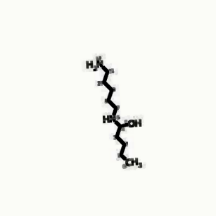 CCCCC(O)NCCCCCN